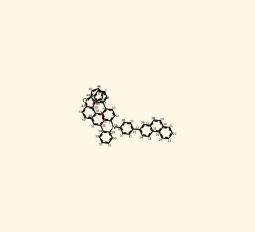 c1ccc(-c2ccc(N(c3ccc(-c4ccc5c(ccc6ccccc65)c4)cc3)c3ccccc3-c3ccc4c(ccc5oc6ccccc6c54)c3)cc2)cc1